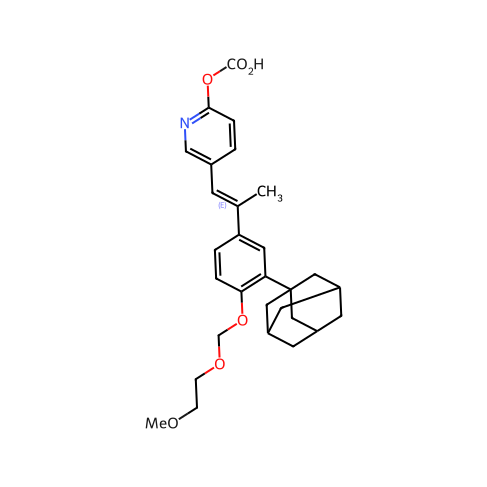 COCCOCOc1ccc(/C(C)=C/c2ccc(OC(=O)O)nc2)cc1C12CC3CC(CC(C3)C1)C2